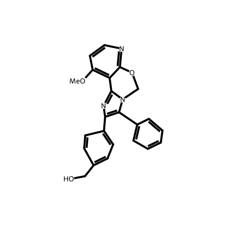 COc1ccnc2c1-c1nc(-c3ccc(CO)cc3)c(-c3ccccc3)n1CO2